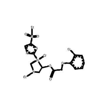 CCc1ccccc1OCC(=O)OC1CN(CC)C[N+]1([O-])c1ncc(S(=O)(=O)CC)s1